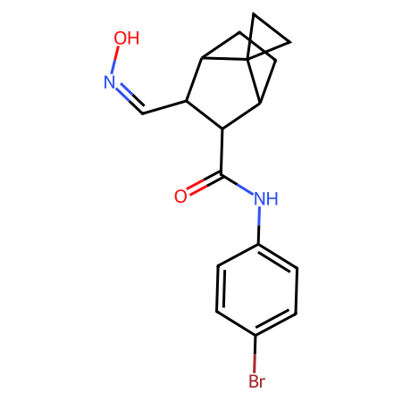 O=C(Nc1ccc(Br)cc1)C1C(/C=N\O)C2CCC1C21CC1